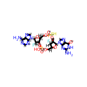 Nc1nc2c(ncn2[C@@H]2O[C@@H]3COP(=O)(O)O[C@H]4[C@H](F)[C@H](n5cnc6c(N)ncnc65)O[C@@H]4COP(=O)(S)O[C@H]2[C@@H]3F)c(=O)[nH]1